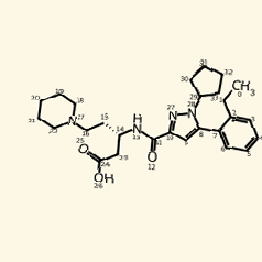 CCc1ccccc1-c1cc(C(=O)N[C@@H](CCN2CCCCC2)CC(=O)O)nn1C1CCCC1